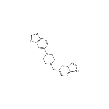 c1cc2cc(CN3CCN(c4ccc5c(c4)OCO5)CC3)ccc2[nH]1